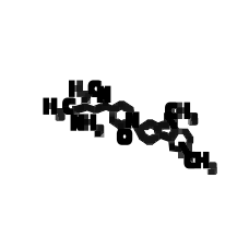 C=N/C(=C\C=C(\C)N)c1ccn(-c2ccc3c4c(n(C)c3c2)CCN(C)C4)c(=O)c1